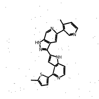 Cc1ccc(-c2nccc3[nH]c(-c4n[nH]c5cnc(-c6cnccc6C)cc45)cc23)s1